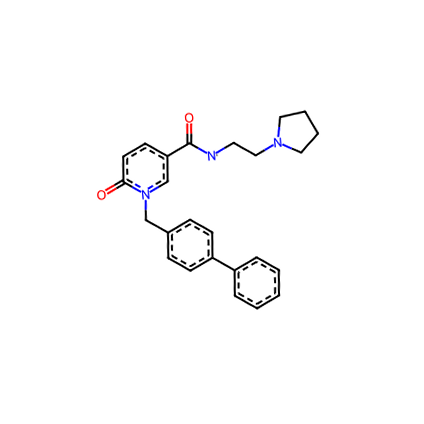 O=C([N]CCN1CCCC1)c1ccc(=O)n(Cc2ccc(-c3ccccc3)cc2)c1